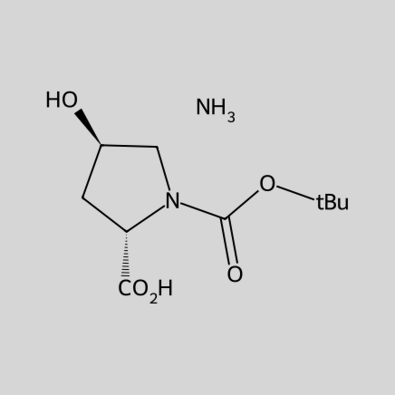 CC(C)(C)OC(=O)N1C[C@H](O)C[C@H]1C(=O)O.N